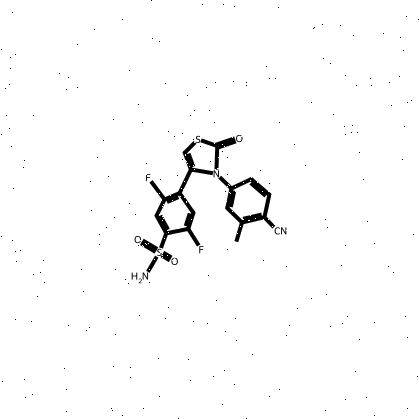 Cc1cc(-n2c(-c3cc(F)c(S(N)(=O)=O)cc3F)csc2=O)ccc1C#N